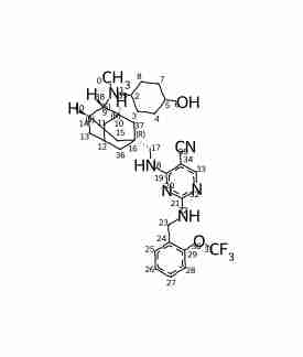 CN(C1CCC(O)CC1)[C@@H]1[C@@H]2CC3C[C@H]1C[C@](CNc1nc(NCc4ccccc4OC(F)(F)F)ncc1C#N)(C3)C2